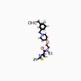 CCN(CCOC1CCN(Cc2ccc(F)c(CC=O)c2)CC1)C(=O)c1csc(C(C)C)n1